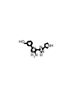 Nc1ncc(-c2cccc(CO)c2)nc1-c1nc(C2CCNC2)n[nH]1